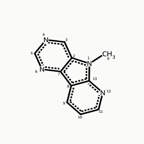 Cn1c2cncnc2c2cccnc21